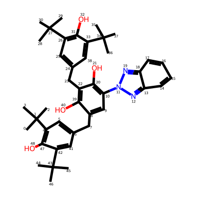 CC(C)(C)c1cc(Cc2cc(-n3nc4ccccc4n3)c(O)c(Cc3cc(C(C)(C)C)c(O)c(C(C)(C)C)c3)c2O)cc(C(C)(C)C)c1O